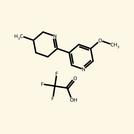 COc1cncc(C2=NCC(C)CC2)c1.O=C(O)C(F)(F)F